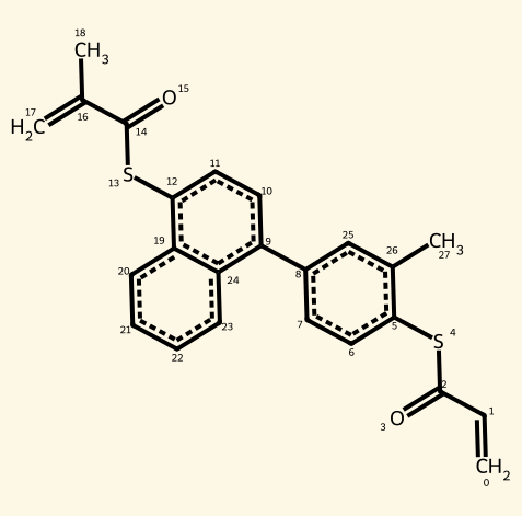 C=CC(=O)Sc1ccc(-c2ccc(SC(=O)C(=C)C)c3ccccc23)cc1C